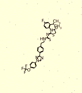 CC(C)c1cc(F)ccc1N1C(=O)CS/C1=N\C(=S)NCCc1ccc(-c2ncn(-c3ccc(OC(F)(F)F)cc3)n2)cc1